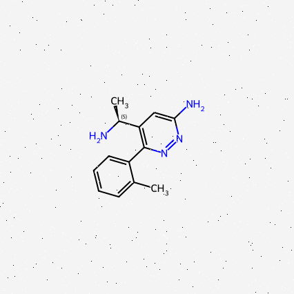 Cc1ccccc1-c1nnc(N)cc1[C@H](C)N